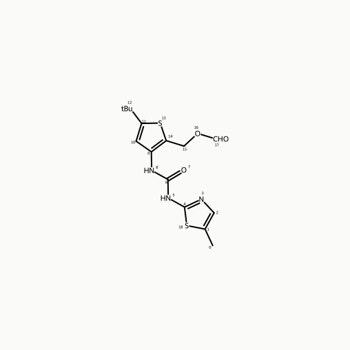 Cc1cnc(NC(=O)Nc2cc(C(C)(C)C)sc2COC=O)s1